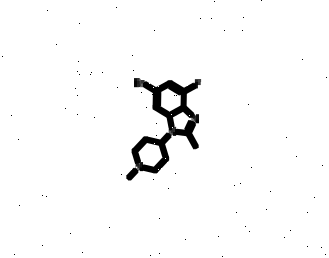 CC1=NC2C(F)=CC(Br)=CC2N1C1CCN(C)CC1